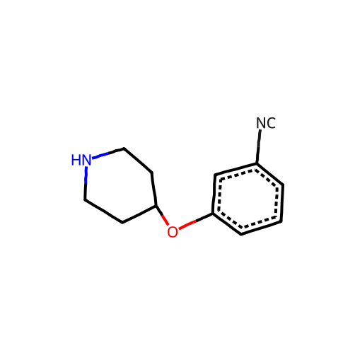 [C-]#[N+]c1cccc(OC2CCNCC2)c1